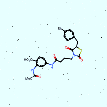 CCc1ccc(CC2SC(=O)N(CCCC(=O)Nc3ccc(C(=O)O)c(NC(=O)OC)c3)C2=O)cc1